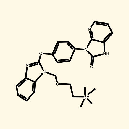 C[SH](C)(C)(C)CCOCn1c(Oc2ccc(-n3c(=O)[nH]c4cccnc43)cc2)nc2ccccc21